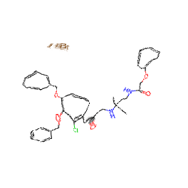 Br.CC(C)(CNC(=O)COc1ccccc1)NCC(=O)c1ccc(OCc2ccccc2)c(OCc2ccccc2)c1Cl